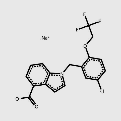 O=C([O-])c1cccc2c1ccn2Cc1cc(Cl)ccc1OCC(F)(F)F.[Na+]